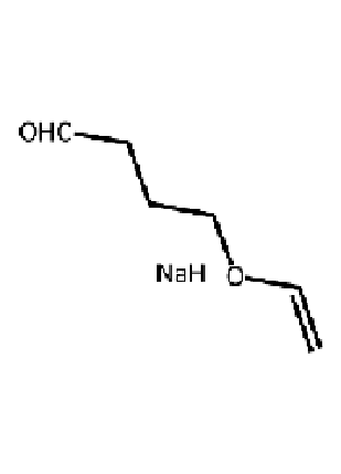 C=COCCCC=O.[NaH]